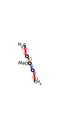 C=CC(=O)OCCOc1ccc(/C=N/c2ccc(SC(=O)c3ccc(OCCOC(=O)C=C)cc3)c(OC)c2)cc1